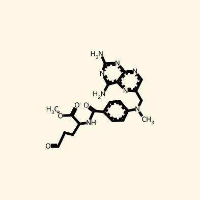 COC(=O)C(CCC=O)NC(=O)c1ccc(N(C)Cc2cnc3nc(N)nc(N)c3n2)cc1